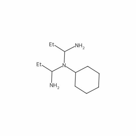 CCC(N)N(C(N)CC)C1CCCCC1